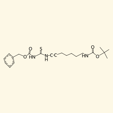 CC(C)(C)OC(=O)NCCCCCCCNC(=S)NC(=O)OCc1ccccc1